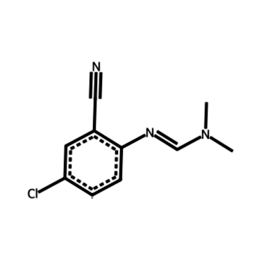 CN(C)/C=N/c1c[c]c(Cl)cc1C#N